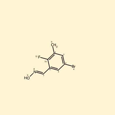 Cc1cc(Br)cc(C=NO)c1F